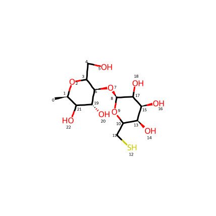 C[C@H]1OC(CO)[C@@H](O[C@@H]2OC(CS)[C@H](O)[C@H](O)C2O)[C@H](O)C1O